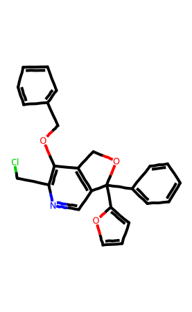 ClCc1ncc2c(c1OCc1ccccc1)COC2(c1ccccc1)c1ccco1